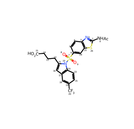 CC(=O)Nc1nc2ccc(S(=O)(=O)n3c(CCCC(=O)O)cc4cc(C(F)(F)F)ccc43)cc2s1